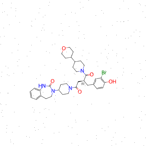 O=C(C[C@H](Cc1ccc(O)c(Br)c1)C(=O)N1CCC(C2CCOCC2)CC1)N1CCC(N2CCc3ccccc3NC2=O)CC1